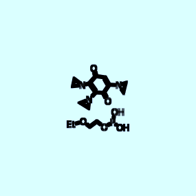 CCOCCOP(O)O.O=C1C=C(N2CC2)C(=O)C(N2CC2)=C1N1CC1